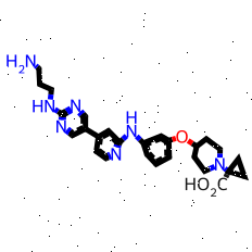 NCCCNc1ncc(-c2ccnc(Nc3cccc(OC4CCN(C5(C(=O)O)CC5)CC4)c3)c2)cn1